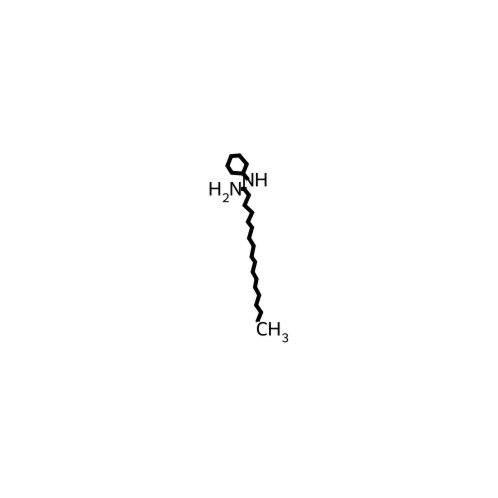 CCCCCCCCCCCCCCCCCC(N)NC1CCCCC1